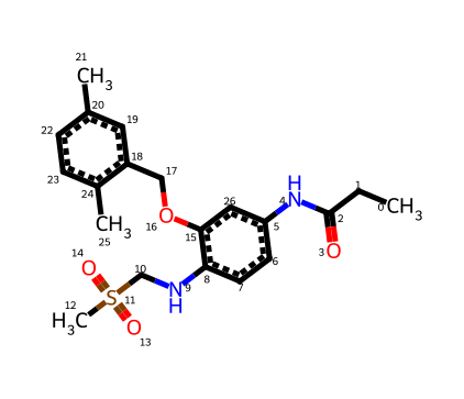 CCC(=O)Nc1ccc(NCS(C)(=O)=O)c(OCc2cc(C)ccc2C)c1